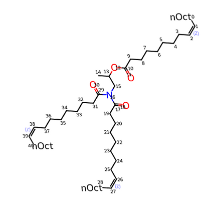 CCCCCCCC/C=C\CCCCCCCC(=O)OC(C)CN(C(=O)CCCCCCC/C=C\CCCCCCCC)C(=O)CCCCCCC/C=C\CCCCCCCC